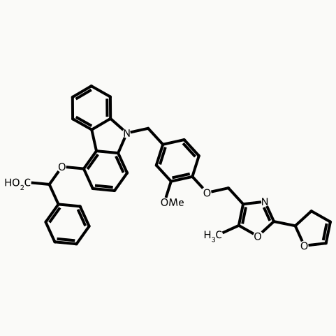 COc1cc(Cn2c3ccccc3c3c(OC(C(=O)O)c4ccccc4)cccc32)ccc1OCc1nc(C2CC=CO2)oc1C